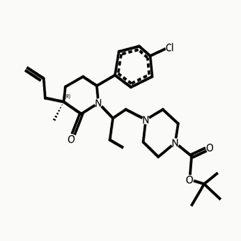 C=CC[C@@]1(C)CCC(c2ccc(Cl)cc2)N(C(CC)CN2CCN(C(=O)OC(C)(C)C)CC2)C1=O